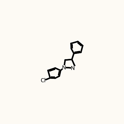 Clc1ccc(N2CC(c3ccccc3)C=N2)cc1